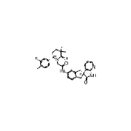 Cc1ccc([C@@H]2CCC(C)(C)C(=O)N2CC(=O)Nc2ccc3c(c2)C[C@@]2(C3)C(=O)Nc3ncccc32)cc1F